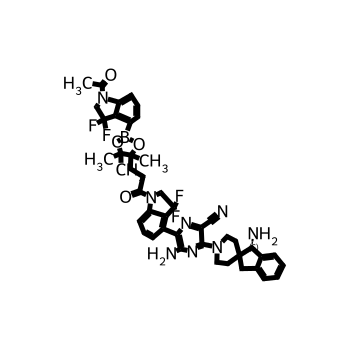 CC(=O)N1CC(F)(F)c2c(B3OC(C)(C)C(C)(CCC(=O)N4CC(F)(F)c5c(-c6nc(C#N)c(N7CCC8(CC7)Cc7ccccc7[C@H]8N)nc6N)cccc54)O3)cccc21